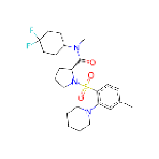 Cc1ccc(S(=O)(=O)N2CCC[C@H]2C(=O)N(C)C2CCC(F)(F)CC2)c(N2CCCCC2)c1